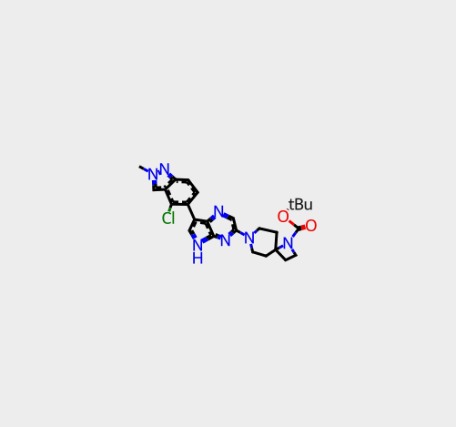 Cn1cc2c(Cl)c(-c3c[nH]c4nc(N5CCC6(CC5)CCN6C(=O)OC(C)(C)C)cnc34)ccc2n1